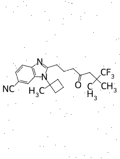 CC1(n2c(CCCC(=O)CC(C)(C)C(F)(F)F)nc3ccc(C#N)cc32)CCC1